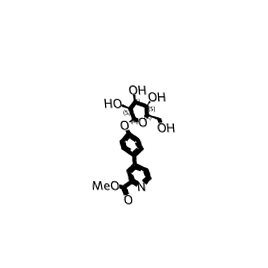 COC(=O)c1cc(-c2ccc(O[C@H]3O[C@H](CO)[C@@H](O)[C@H](O)[C@@H]3O)cc2)ccn1